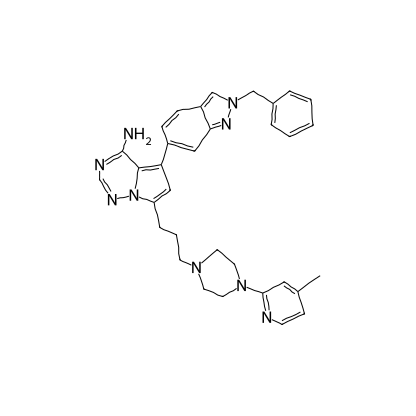 Cc1ccnc(N2CCN(CCCc3cc(-c4ccc5cn(Cc6ccccc6)nc5c4)c4c(N)ncnn34)CC2)c1